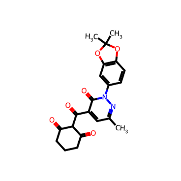 Cc1cc(C(=O)C2C(=O)CCCC2=O)c(=O)n(-c2ccc3c(c2)OC(C)(C)O3)n1